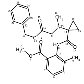 COC(=O)c1cccc(C)c1NC(=O)C1(N(C)CC(=O)OCc2ccccc2)CC1